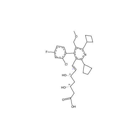 COCc1c(C2CCC2)nc(C2CCC2)c(/C=C/[C@@H](O)C[C@@H](O)CC(=O)O)c1-c1ccc(F)cc1Cl